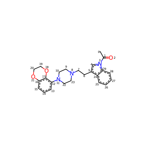 CC(=O)n1cc(CCN2CCN(c3cccc4c3OCCO4)CC2)c2ccccc21